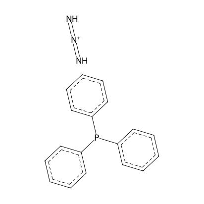 N=[N+]=N.c1ccc(P(c2ccccc2)c2ccccc2)cc1